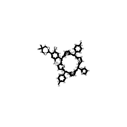 CCc1cc(C2OCC(C)(C)CO2)c(CC)cc1-c1c2nc(c(-c3ccc(C)cc3)c3ccc([nH]3)c(-c3cccs3)c3nc(c(-c4ccc(C)cc4)c4ccc1[nH]4)C=C3)C=C2